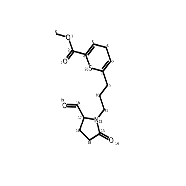 COC(=O)C1=CCC=C(CCCN2C(=O)CCC2C=O)S1